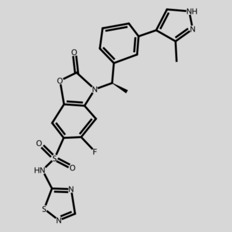 Cc1n[nH]cc1-c1cccc([C@@H](C)n2c(=O)oc3cc(S(=O)(=O)Nc4ncns4)c(F)cc32)c1